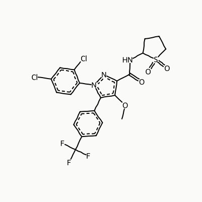 COc1c(C(=O)NC2CCCS2(=O)=O)nn(-c2ccc(Cl)cc2Cl)c1-c1ccc(C(F)(F)F)cc1